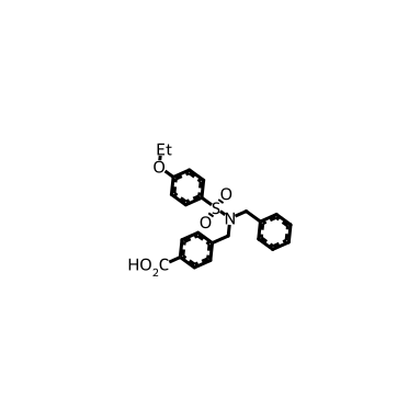 CCOc1ccc(S(=O)(=O)N(Cc2ccccc2)Cc2ccc(C(=O)O)cc2)cc1